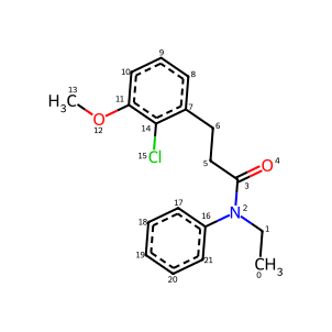 CCN(C(=O)CCc1cccc(OC)c1Cl)c1ccccc1